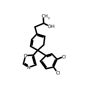 CC(O)CC1=CCC(c2ccc(Cl)c(Cl)c2)(c2cnco2)C=C1